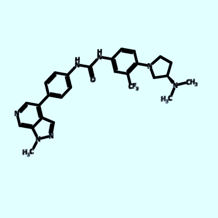 CN(C)[C@@H]1CCN(c2ccc(NC(=O)Nc3ccc(-c4cncc5c4cnn5C)cc3)cc2C(F)(F)F)C1